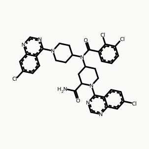 NC(=O)C1CC(N(C(=O)c2cccc(Cl)c2Cl)C2CCN(c3ncnc4cc(Cl)ccc34)CC2)CCN1c1ncnc2cc(Cl)ccc12